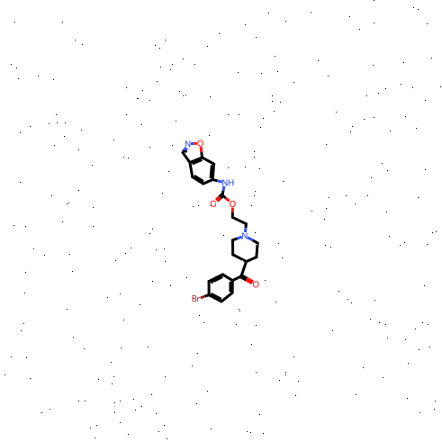 O=C(Nc1ccc2cnoc2c1)OCCN1CCC(C(=O)c2ccc(Br)cc2)CC1